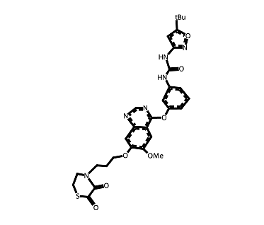 COc1cc2c(Oc3cccc(NC(=O)Nc4cc(C(C)(C)C)on4)c3)ncnc2cc1OCCCN1CCSC(=O)C1=O